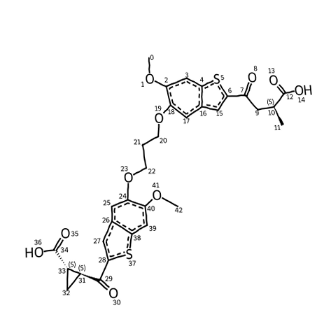 COc1cc2sc(C(=O)C[C@H](C)C(=O)O)cc2cc1OCCCOc1cc2cc(C(=O)[C@H]3C[C@@H]3C(=O)O)sc2cc1OC